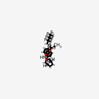 COC(=O)c1ccc(CN2[C@@H]3CC[C@H]2C[C@H](Nc2ccc(OCC(F)(F)C(F)(F)C(F)(F)F)cc2)C3)cc1